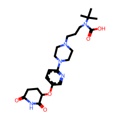 CC(C)(C)N(CCCN1CCN(c2ccc(OC3CCC(=O)NC3=O)cn2)CC1)C(=O)O